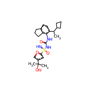 CC(c1ccc2c(c1NC(=O)NS(=N)(=O)c1cc(C(C)(C)O)co1)CCC2)C1CCC1